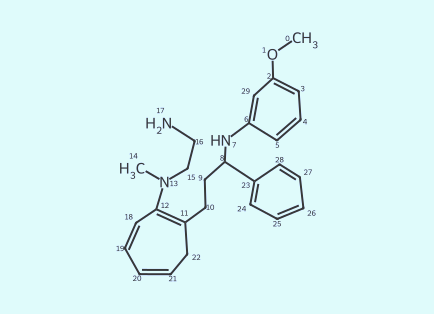 COc1cccc(NC(CCC2=C(N(C)CCN)C=CC=CC2)c2ccccc2)c1